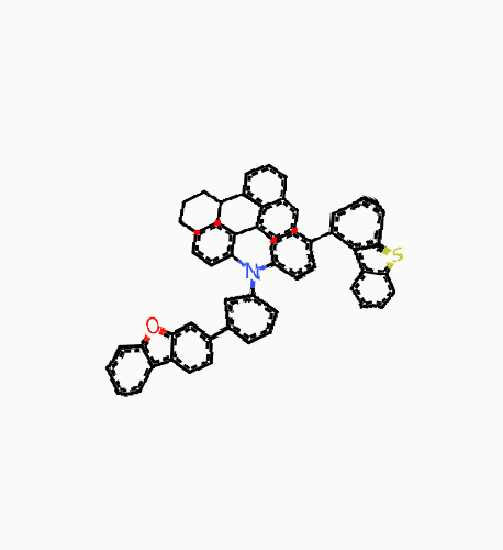 c1cc(-c2ccc3c(c2)oc2ccccc23)cc(N(c2ccc(-c3cccc4sc5ccccc5c34)cc2)c2ccccc2-c2cccc3cccc(C4CCCCC4)c23)c1